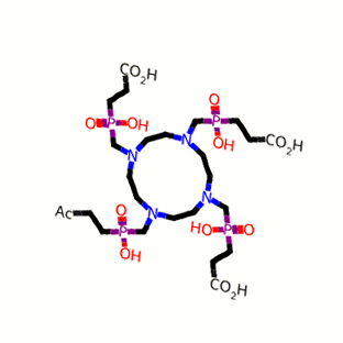 CC(=O)CCP(=O)(O)CN1CCN(CP(=O)(O)CCC(=O)O)CCN(CP(=O)(O)CCC(=O)O)CCN(CP(=O)(O)CCC(=O)O)CC1